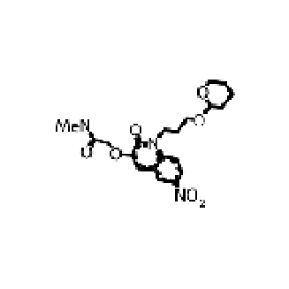 CNC(=O)COc1cc2cc([N+](=O)[O-])ccc2n(CCCOC2CCCCO2)c1=O